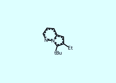 CCc1cc2cccnn2c1C(C)(C)C